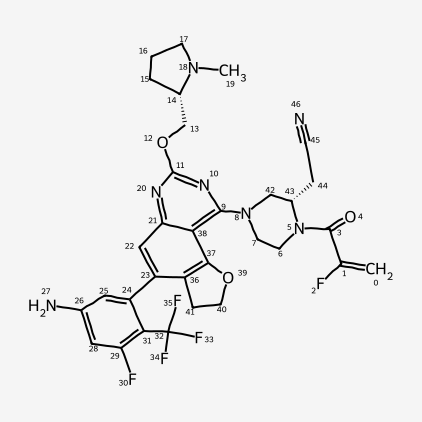 C=C(F)C(=O)N1CCN(c2nc(OC[C@@H]3CCCN3C)nc3cc(-c4cc(N)cc(F)c4C(F)(F)F)c4c(c23)OCC4)C[C@@H]1CC#N